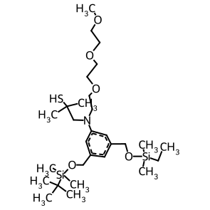 CC[Si](C)(C)OCc1cc(CO[Si](C)(C)C(C)(C)C)cc(N(CCOCCOCCOC)CC(C)(C)S)c1